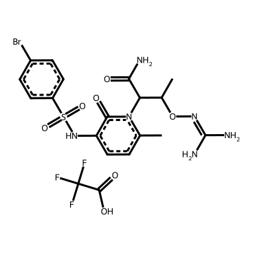 Cc1ccc(NS(=O)(=O)c2ccc(Br)cc2)c(=O)n1C(C(N)=O)C(C)ON=C(N)N.O=C(O)C(F)(F)F